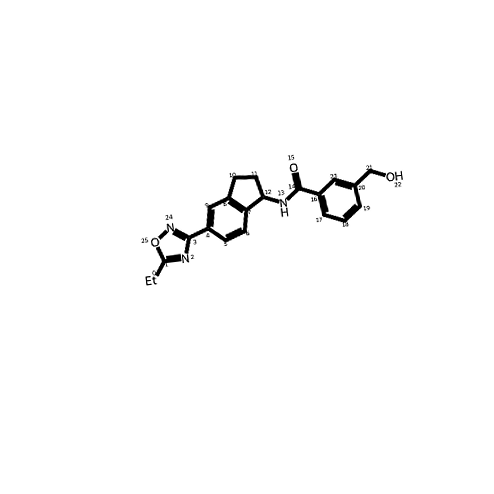 CCc1nc(-c2ccc3c(c2)CCC3NC(=O)c2cccc(CO)c2)no1